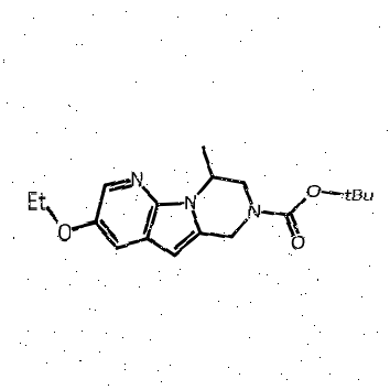 CCOc1cnc2c(c1)cc1n2C(C)CN(C(=O)OC(C)(C)C)C1